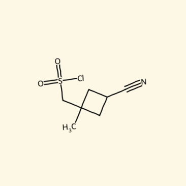 CC1(CS(=O)(=O)Cl)CC(C#N)C1